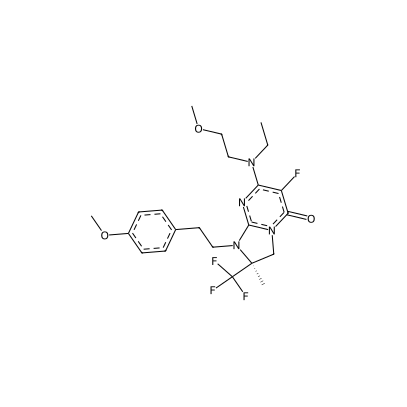 CCN(CCOC)c1nc2n(c(=O)c1F)C[C@@](C)(C(F)(F)F)N2CCc1ccc(OC)cc1